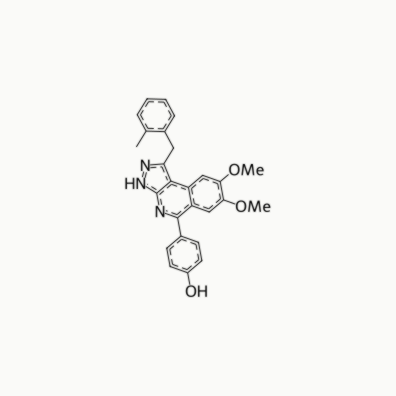 COc1cc2c(-c3ccc(O)cc3)nc3[nH]nc(Cc4ccccc4C)c3c2cc1OC